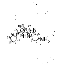 NC1CCC(NC(=O)C23CC4C[C@](c5ccccc5)(C2)C[C@@]3(CCF)C4)CC1